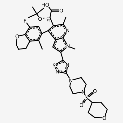 Cc1nc2c(cc(-c3nc(N4CCN(S(=O)(=O)C5CCOCC5)CC4)ns3)n2C)c(-c2cc(F)c3c(c2C)CCCO3)c1[C@H](OC(C)(C)C)C(=O)O